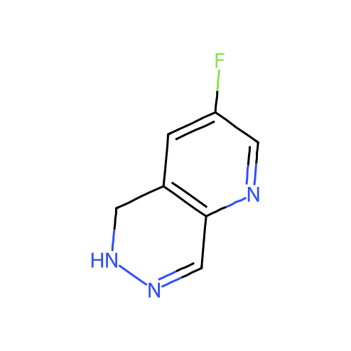 Fc1cnc2c(c1)CNN=C2